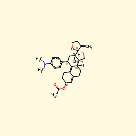 C=C1CCO[C@@]12CC[C@H]1[C@@H]3CCC4=C[C@@H](OC(C)=O)CCC4=C3[C@@H](c3ccc(N(C)C)cc3)C[C@@]12C